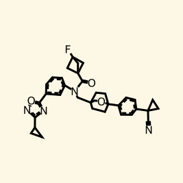 N#CC1(c2ccc(C34CCC(CN(C(=O)C56CC(F)(C5)C6)c5cccc(-c6nc(C7CC7)no6)c5)(CC3)CO4)cc2)CC1